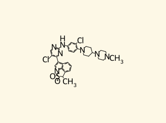 CC1c2cccc3c(-c4nc(Nc5ccc(N6CCC(N7CCN(C)CC7)CC6)c(Cl)c5)ncc4Cl)cn(c23)S1(=O)=O